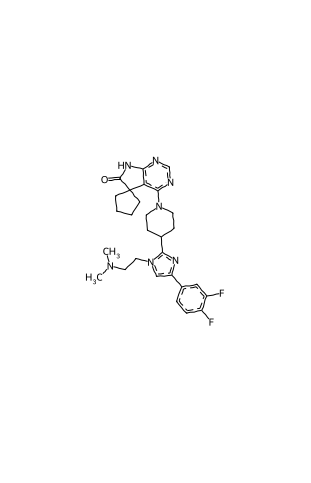 CN(C)CCn1cc(-c2ccc(F)c(F)c2)nc1C1CCN(c2ncnc3c2C2(CCCC2)C(=O)N3)CC1